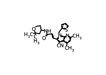 Cc1cc(C)c2c(C#N)c(/C=C/C(=O)NC3CCOC(C)(C)C3)n(Cc3cccs3)c2n1